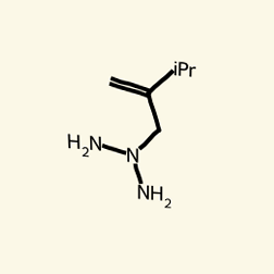 C=C(CN(N)N)C(C)C